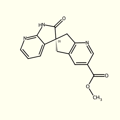 COC(=O)c1cnc2c(c1)C[C@@]1(C2)C(=O)Nc2ncccc21